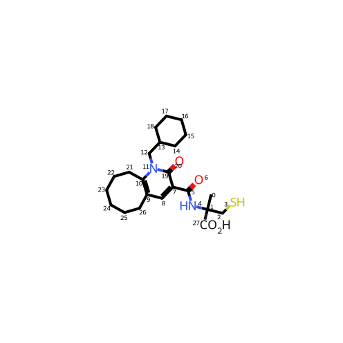 CC(CS)(NC(=O)c1cc2c(n(CC3CCCCC3)c1=O)CCCCCC2)C(=O)O